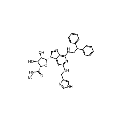 CCNC(=O)[C@H]1O[C@@H](n2cnc3c(NCC(c4ccccc4)c4ccccc4)nc(NCc4c[nH]cn4)nc32)[C@H](O)[C@@H]1O